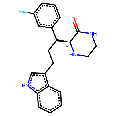 O=C1NCCN[C@H]1C(CCc1c[nH]c2ccccc12)c1cccc(F)c1